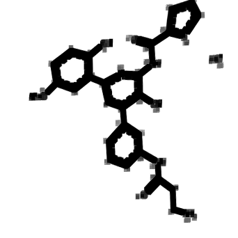 COc1ccc(O)c(-c2cc(-c3cccc(NC(=O)CCN)c3)c(C#N)c(NC(=O)c3cccs3)n2)c1.Cl